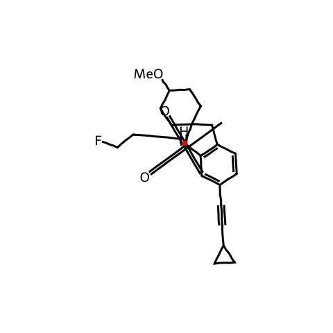 COC1CCC2(CC1)Cc1ccc(C#CC3CC3)cc1C21NC(=O)N(CCF)C1=O